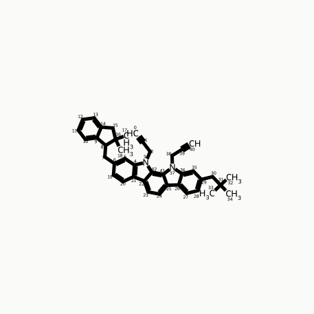 C#CCn1c2cc(CC3c4ccccc4CC3(C)C)ccc2c2ccc3c4ccc(CC(C)(C)C)cc4n(CC#C)c3c21